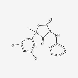 CC1(c2cc(Cl)cc(Cl)c2)OC(=S)N(Nc2ccccc2)C1=O